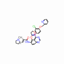 CN1CCC[C@@H]1/C=C/C(=O)Nc1ccc2ncnc(Nc3ccc(OCc4ccccn4)c(Cl)c3)c2c1OC1CCOC1